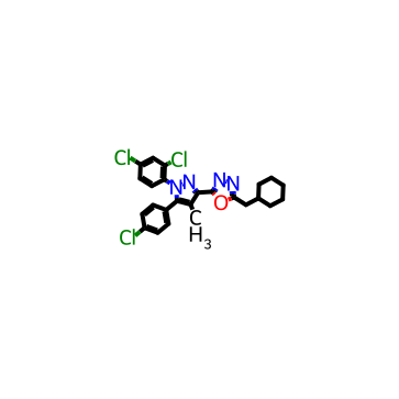 Cc1c(-c2nnc(CC3CCCCC3)o2)nn(-c2ccc(Cl)cc2Cl)c1-c1ccc(Cl)cc1